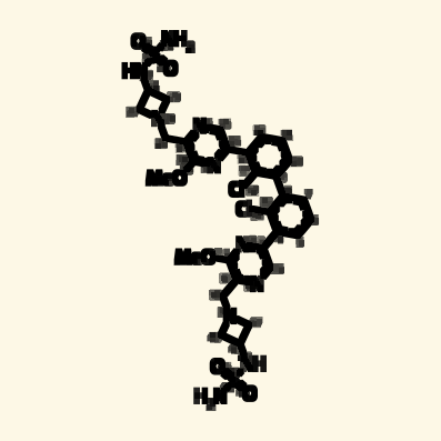 COc1nc(-c2cccc(-c3cccc(-c4cnc(CN5CC(NS(N)(=O)=O)C5)c(OC)n4)c3Cl)c2Cl)cnc1CN1CC(NS(N)(=O)=O)C1